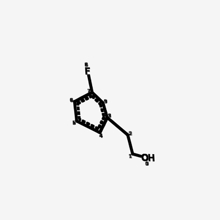 OCCc1cc[c]c(F)c1